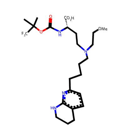 COCCN(CCCCc1ccc2c(n1)NCCC2)CC[C@H](NC(=O)OC(C)(C)C(F)(F)F)C(=O)O